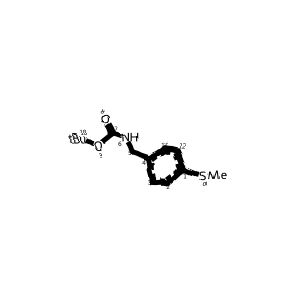 CSc1ccc(CNC(=O)OC(C)(C)C)cc1